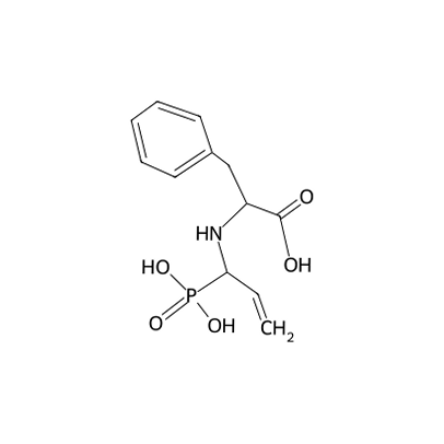 C=CC(NC(Cc1ccccc1)C(=O)O)P(=O)(O)O